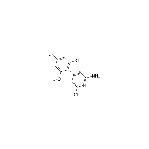 COc1cc(Cl)cc(Cl)c1-c1cc(Cl)nc(N)n1